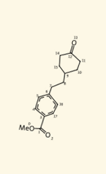 COC(=O)c1ccc(CCC2CCC(=O)CC2)cc1